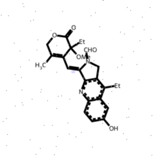 CCc1c2c(nc3ccc(O)cc13)/C(=C/C1=C(C)COC(=O)C1(CC)OC)N(C=O)C2